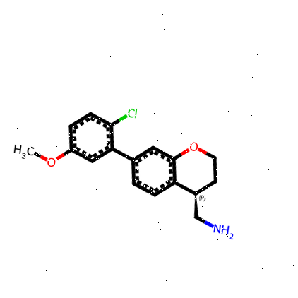 COc1ccc(Cl)c(-c2ccc3c(c2)OCC[C@H]3CN)c1